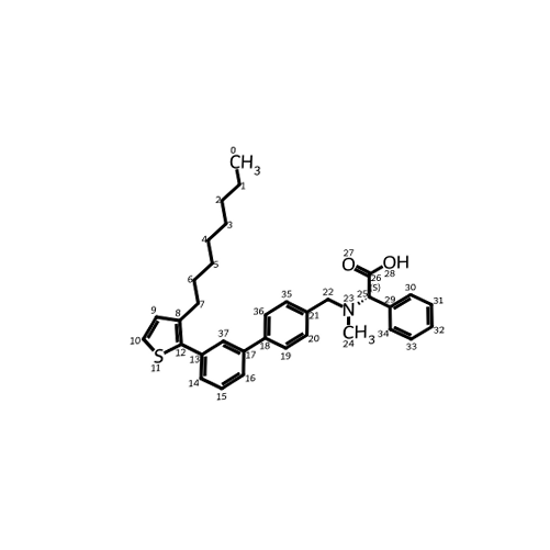 CCCCCCCCc1ccsc1-c1cccc(-c2ccc(CN(C)[C@H](C(=O)O)c3ccccc3)cc2)c1